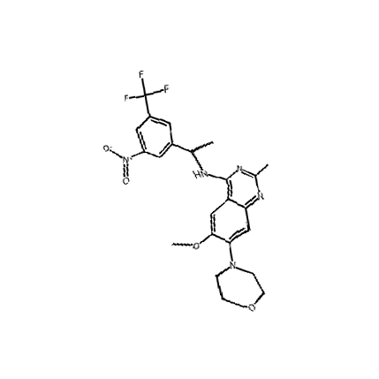 COc1cc2c(NC(C)c3cc([N+](=O)[O-])cc(C(F)(F)F)c3)nc(C)nc2cc1N1CCOCC1